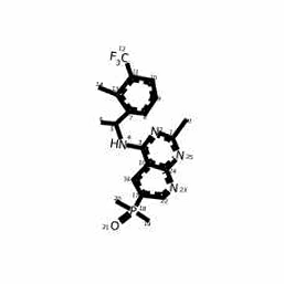 Cc1nc(NC(C)c2cccc(C(F)(F)F)c2C)c2cc(P(C)(C)=O)cnc2n1